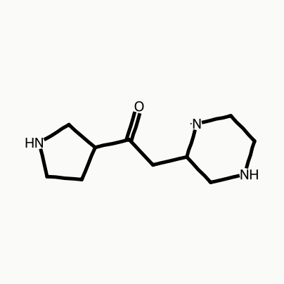 O=C(CC1CNCC[N]1)C1CCNC1